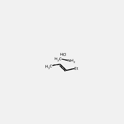 CC=CCC.CN.Cl